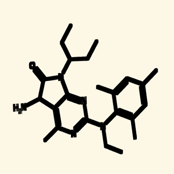 CCC(CC)N1C(=O)C(N)c2c(C)nc(N(CC)c3c(C)cc(C)cc3C)nc21